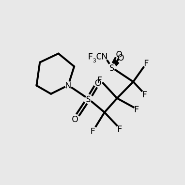 O=S(=O)(NC(F)(F)F)C(F)(F)C(F)(F)C(F)(F)S(=O)(=O)N1CCCCC1